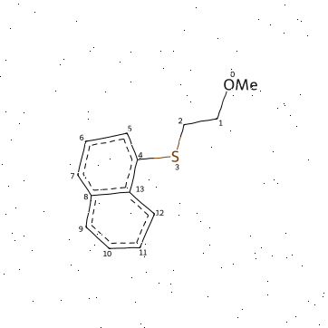 COCCSc1cccc2ccccc12